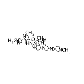 Cc1cc(C(=O)Nc2nc3ccc(N4CCC(N5CC6(CCN(C)CC6)C5)CC4)cc3n2CC(C)(C)O)c(F)c(-c2cnn(C)c2)n1